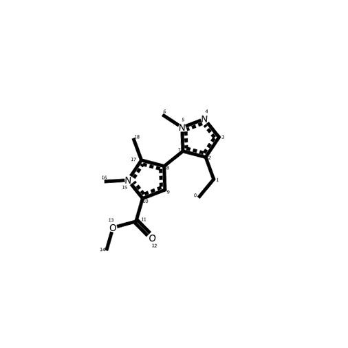 CCc1cnn(C)c1-c1cc(C(=O)OC)n(C)c1C